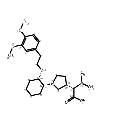 COc1ccc(CCO[C@H]2CCCC[C@H]2N2CC[C@H](C(C(=O)O)N(C)C)C2)cc1OC